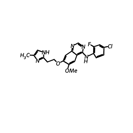 COc1cc2c(Nc3ccc(Cl)cc3F)ncnc2cc1OCCc1nc(C)c[nH]1